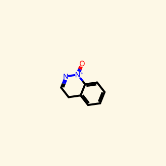 O=[N+]1N=CCc2ccccc21